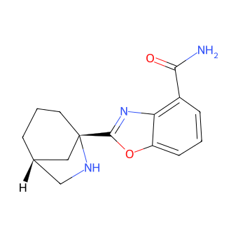 NC(=O)c1cccc2oc([C@@]34CCC[C@@H](CN3)C4)nc12